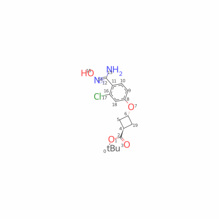 CC(C)(C)OC(=O)[C@H]1C[C@H](Oc2ccc(/C(N)=N/O)c(Cl)c2)C1